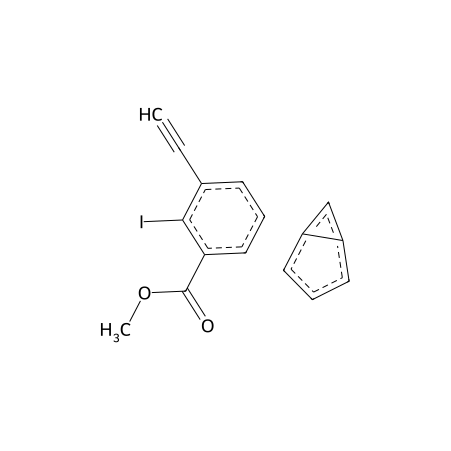 C#Cc1cccc(C(=O)OC)c1I.c1cc2cc-2c1